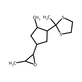 CC1CC(C2OC2C)CC1C1(C)SCCS1